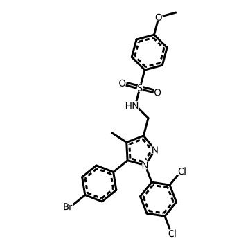 COc1ccc(S(=O)(=O)NCc2nn(-c3ccc(Cl)cc3Cl)c(-c3ccc(Br)cc3)c2C)cc1